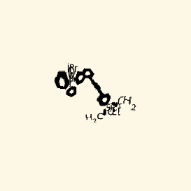 C=CC[Si](CC=C)(OCC)c1ccc(C#Cc2cccc3c(C(C)C)c(P(=O)(c4ccccc4)c4ccccc4)ccc23)cc1